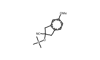 COc1ccc2c(c1)CC(C#N)(O[Si](C)(C)C)C2